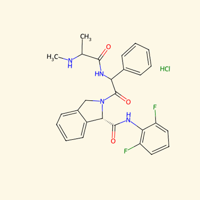 CNC(C)C(=O)NC(C(=O)N1Cc2ccccc2[C@H]1C(=O)Nc1c(F)cccc1F)c1ccccc1.Cl